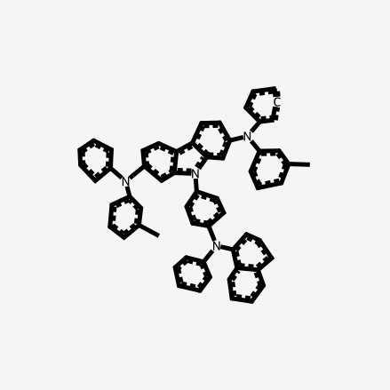 Cc1cccc(N(c2ccccc2)c2ccc3c4ccc(N(c5ccccc5)c5cccc(C)c5)cc4n(-c4ccc(N(c5ccccc5)c5cccc6ccccc56)cc4)c3c2)c1